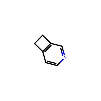 [c]1nccc2c1CC2